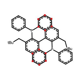 CC(C)(C)Cc1cc2ccccc2c(-c2c(P(c3ccccc3)c3ccccc3)c(CC(C)(C)C)cc3ccccc23)c1P(c1ccccc1)c1ccccc1